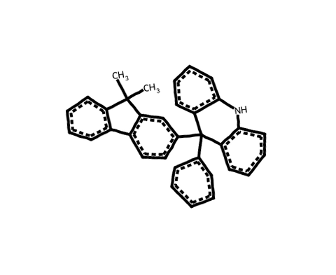 CC1(C)c2ccccc2-c2ccc(C3(c4ccccc4)c4ccccc4Nc4ccccc43)cc21